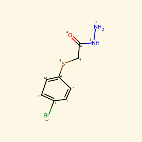 NNC(=O)CSc1ccc(Br)cc1